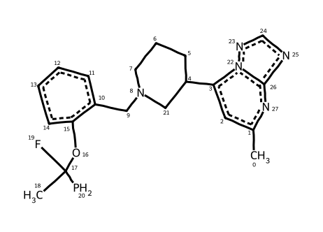 Cc1cc(C2CCCN(Cc3ccccc3OC(C)(F)P)C2)n2ncnc2n1